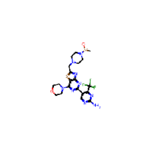 C[S+]([O-])N1CCN(Cc2nc3nc(-c4cnc(N)nc4C(F)(F)F)nc(N4CCOCC4)c3s2)CC1